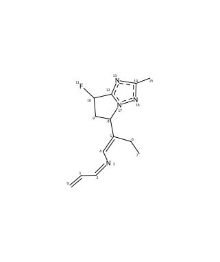 C=C/C=N\C=C(/CC)C1CC(F)c2nc(C)nn21